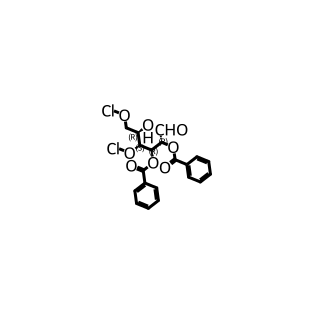 O=C[C@H](OC(=O)c1ccccc1)[C@@H](OC(=O)c1ccccc1)[C@@H](OCl)[C@H](O)COCl